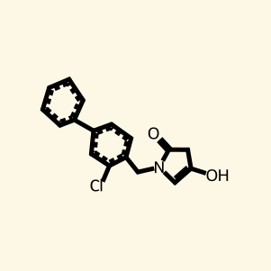 O=C1CC(O)=CN1Cc1ccc(-c2ccccc2)cc1Cl